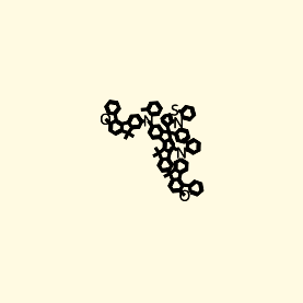 Cc1ccccc1N(c1ccc2c(c1)C(C)(C)c1ccc3oc4ccccc4c3c1-2)c1ccc2c(c1)C1(c3ccccc3N3c4ccccc4Sc4cccc1c43)c1cc(N(c3ccc4c(c3)C(C)(C)c3ccc5oc6ccccc6c5c3-4)c3ccccc3C)c3c(c1-2)C(C)(C)c1ccccc1-3